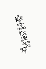 O=C(Nc1ccc(S(=O)(=O)C2CCN(C(=O)c3cccc(F)c3)CC2)cc1)C1CN(c2cccnn2)C1